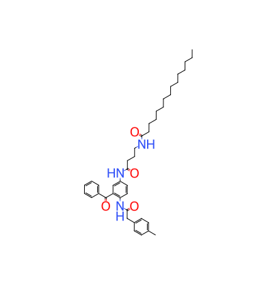 CCCCCCCCCCCCCCC(=O)NCCCC(=O)Nc1ccc(NC(=O)Cc2ccc(C)cc2)c(C(=O)c2ccccc2)c1